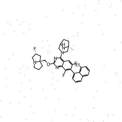 CCc1cccc2cccc(-c3c(F)cc4c(N5CC6CC[C@@](C)(C5)N6)nc(OC[C@@]56CCCN5C[C@H](F)C6)nc4c3F)c12